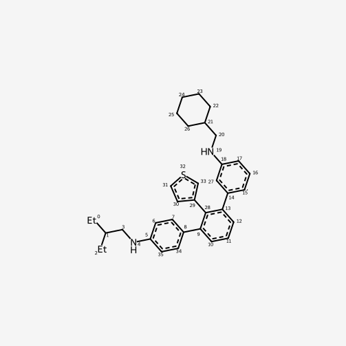 CCC(CC)CNc1ccc(-c2cccc(-c3[c]ccc(NCC4CCCCC4)c3)c2-c2ccsc2)cc1